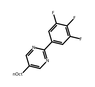 CCCCCCCCc1cnc(-c2cc(F)c(F)c(F)c2)nc1